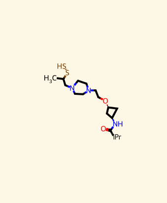 CC(CN1CCN(CCO[C@H]2C[C@H](NC(=O)C(C)C)C2)CC1)SS